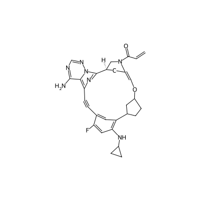 C=CC(=O)N1C[C@H]2C/C1=C\OC1CCC(C1)c1cc(c(F)cc1NC1CC1)C#Cc1nc2n2ncnc(N)c12